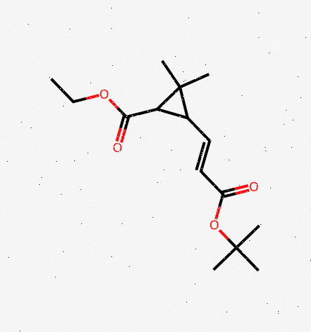 CCOC(=O)C1C(C=CC(=O)OC(C)(C)C)C1(C)C